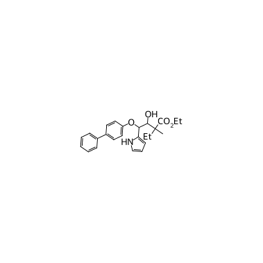 CCOC(=O)C(C)(CC)C(O)C(Oc1ccc(-c2ccccc2)cc1)c1ccc[nH]1